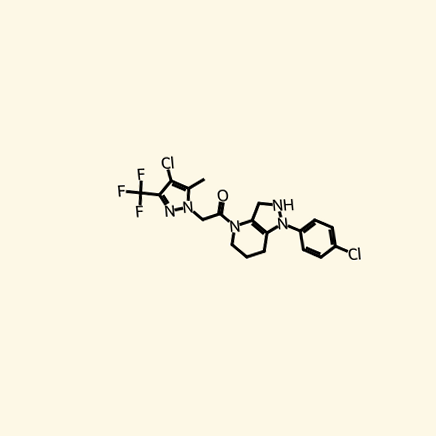 Cc1c(Cl)c(C(F)(F)F)nn1CC(=O)N1CCCC2=C1CNN2c1ccc(Cl)cc1